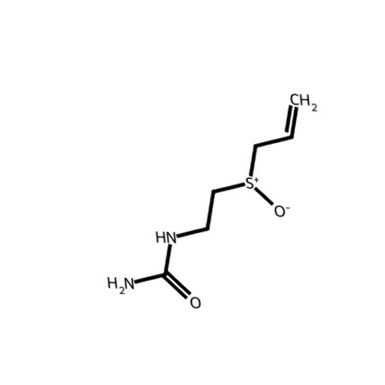 C=CC[S+]([O-])CCNC(N)=O